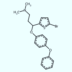 CN(C)CCC(Oc1ccc(Oc2ccccc2)cc1)c1ccc(Br)s1